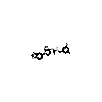 O=C(NCc1cc(F)cc(Cl)c1)O[C@@]1(O)CCN(c2ccc3[nH]cnc3c2)C1=O